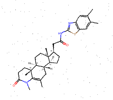 CC1=C2N(C)C(=O)CC[C@]2(C)[C@H]2CC[C@]3(C)[C@@H](CC(=O)Nc4nc5cc(C)c(C)cc5s4)CC[C@H]3[C@@H]2C1